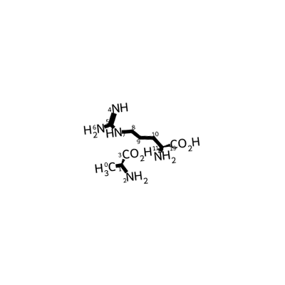 C[C@H](N)C(=O)O.N=C(N)NCCC[C@H](N)C(=O)O